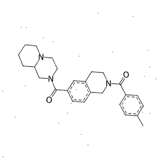 Cc1ccc(C(=O)N2CCc3cc(C(=O)N4CCN5CCCCC5C4)ccc3C2)cc1